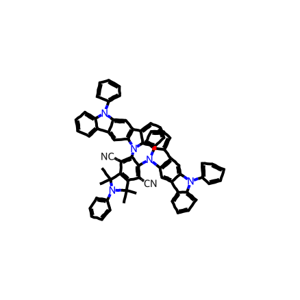 CC1(C)c2c(C#N)c(-n3c4ccccc4c4cc5c(cc43)c3ccccc3n5-c3ccccc3)c(-n3c4ccccc4c4cc5c(cc43)c3ccccc3n5-c3ccccc3)c(C#N)c2C(C)(C)N1c1ccccc1